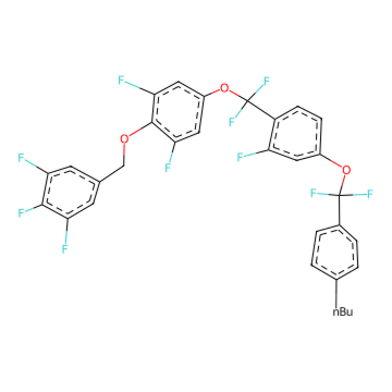 CCCCc1ccc(C(F)(F)Oc2ccc(C(F)(F)Oc3cc(F)c(OCc4cc(F)c(F)c(F)c4)c(F)c3)c(F)c2)cc1